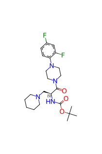 CC(C)(C)OC(=O)N[C@@H](CN1CCCCC1)C(=O)N1CCN(c2ccc(F)cc2F)CC1